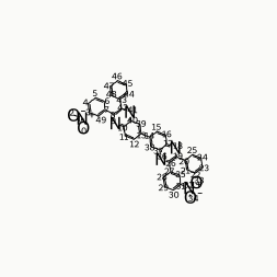 O=[N+]([O-])c1cccc(-c2nc3ccc(-c4ccc5nc(-c6ccccc6)c(-c6cccc([N+](=O)[O-])c6)nc5c4)cc3nc2-c2ccccc2)c1